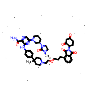 CN1CCN([C@@H]2CCCN(c3cnc(C(N)=O)c(Nc4ccc(C5(C)CCN(CCOCCCc6cccc7c6C(=O)N(C6CCC(=O)CC6=O)C7=O)CC5)cc4)n3)C2)C1=O